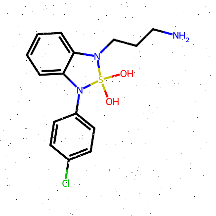 NCCCN1c2ccccc2N(c2ccc(Cl)cc2)S1(O)O